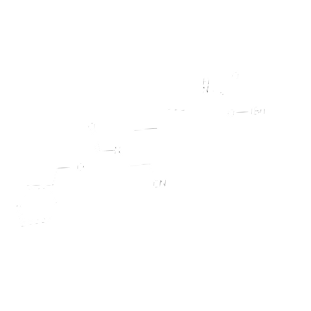 CC(C)(C)OC(=O)NCCCCN(CCC#N)C(=O)OCc1ccccc1